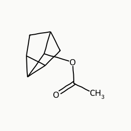 CC(=O)OC1C2CC3C(C2)C31